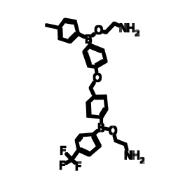 Cc1ccc(B(OCCN)c2ccc(OCc3ccc(B(OCCN)c4ccc(C(F)(F)F)cc4)cc3)cc2)cc1